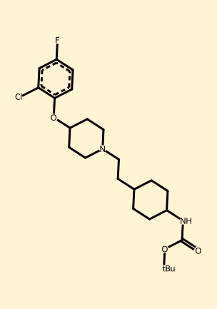 CC(C)(C)OC(=O)NC1CCC(CCN2CCC(Oc3ccc(F)cc3Cl)CC2)CC1